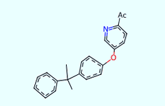 CC(=O)c1ccc(Oc2ccc(C(C)(C)c3ccccc3)cc2)cn1